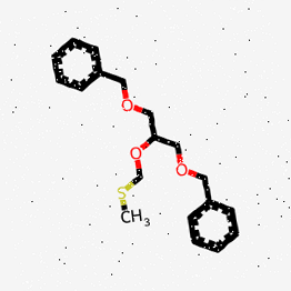 CSCOC(COCc1ccccc1)COCc1ccccc1